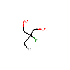 CC(C)CC(F)(CO)CO